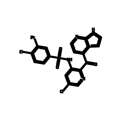 CC(C)c1cc(S(=O)(=O)Nc2cc(Cl)cnc2C(=O)c2ccnc3[nH]ccc23)ccc1Cl